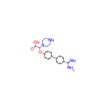 N=C(N)c1ccc(-c2ccc(OC(C(=O)O)N3CCNCC3)cc2)cc1